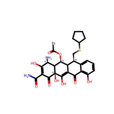 CCC(=O)O[C@H]1C2C(=C(O)[C@]3(O)C(=O)C(C(N)=O)=C(O)[C@@H](N)C13)C(=O)c1c(O)cccc1[C@@H]2CSC1CCCC1